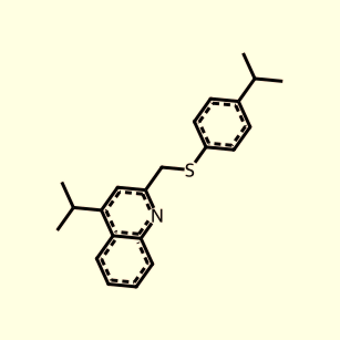 CC(C)c1ccc(SCc2cc(C(C)C)c3ccccc3n2)cc1